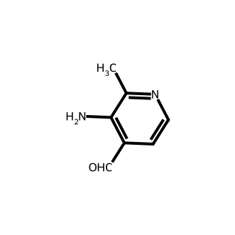 Cc1nccc(C=O)c1N